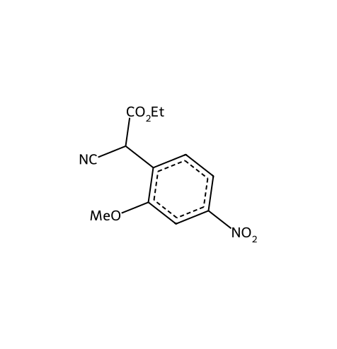 CCOC(=O)C(C#N)c1ccc([N+](=O)[O-])cc1OC